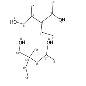 CCC(C(C)O)C(C)CO.CCC(C)(CO)CC(C)O